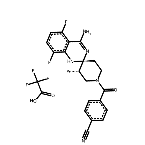 N#Cc1ccc(C(=O)N2CC[C@@]3(N=C(N)c4c(F)ccc(F)c4N3)[C@@H](F)C2)cc1.O=C(O)C(F)(F)F